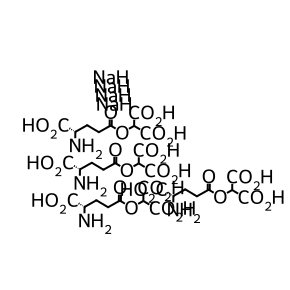 N[C@@H](CCC(=O)OC(C(=O)O)C(=O)O)C(=O)O.N[C@@H](CCC(=O)OC(C(=O)O)C(=O)O)C(=O)O.N[C@@H](CCC(=O)OC(C(=O)O)C(=O)O)C(=O)O.N[C@@H](CCC(=O)OC(C(=O)O)C(=O)O)C(=O)O.[NaH].[NaH].[NaH].[NaH]